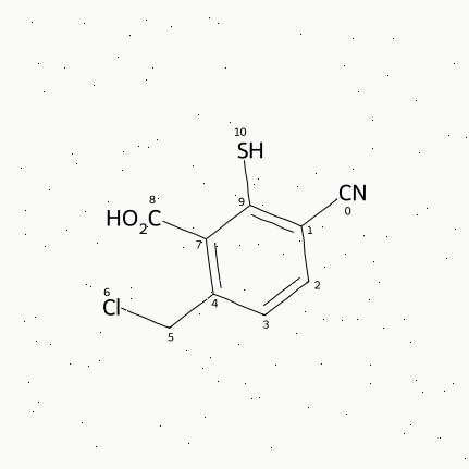 N#Cc1ccc(CCl)c(C(=O)O)c1S